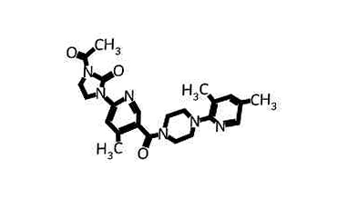 CC(=O)N1CCN(c2cc(C)c(C(=O)N3CCN(c4ncc(C)cc4C)CC3)cn2)C1=O